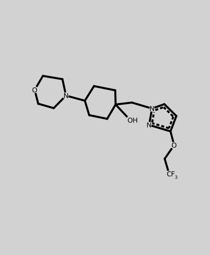 OC1(Cn2ccc(OCC(F)(F)F)n2)CCC(N2CCOCC2)CC1